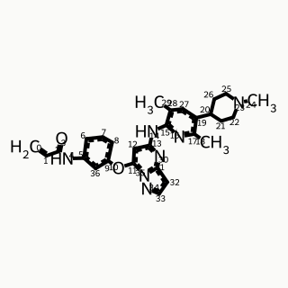 C=CC(=O)Nc1cccc(Oc2cc(Nc3nc(C)c(C4CCN(C)CC4)cc3C)nc3ccnn23)c1